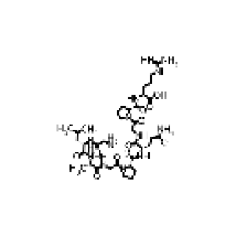 CC(C)C[C@H](NC(=O)CN)C(=O)N[C@@H](C)C(=O)NCC(=O)N1CCC[C@H]1C(=O)N[C@@H](CCC(N)=O)C(=O)NCC(=O)N1CCC[C@H]1C(=O)N[C@@H](CCCNC(=N)N)C(=O)O